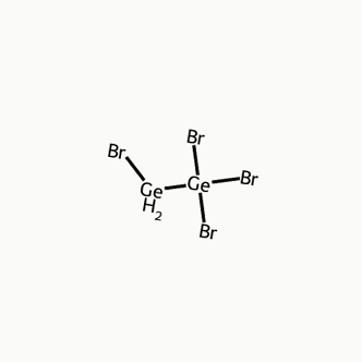 [Br][GeH2][Ge]([Br])([Br])[Br]